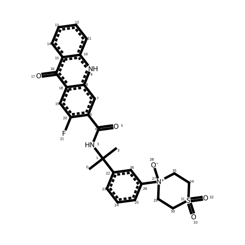 CC(C)(NC(=O)c1cc2[nH]c3ccccc3c(=O)c2cc1F)c1cccc([N+]2([O-])CCS(=O)(=O)CC2)c1